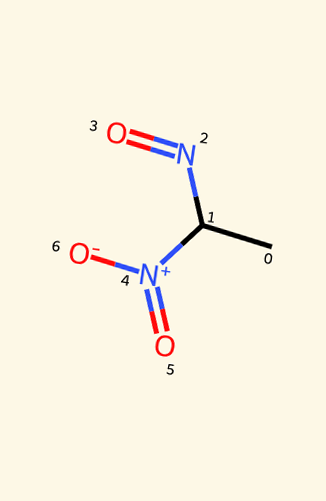 CC(N=O)[N+](=O)[O-]